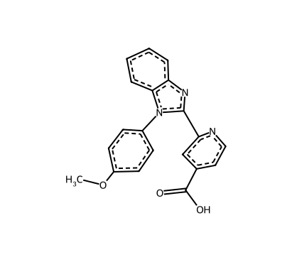 COc1ccc(-n2c(-c3cc(C(=O)O)ccn3)nc3ccccc32)cc1